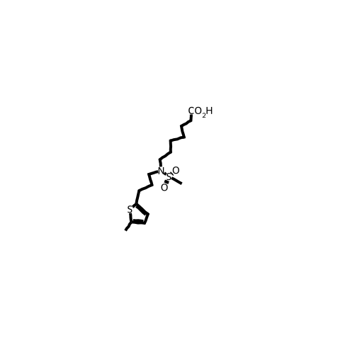 Cc1ccc(CCCN(CCCCCCC(=O)O)S(C)(=O)=O)s1